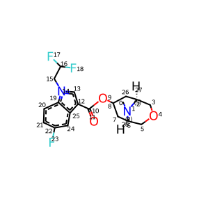 CN1[C@@H]2COC[C@H]1CC(OC(=O)c1cn(CC(F)F)c3ccc(F)cc13)C2